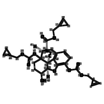 O=C(OCC1C=C1)Oc1ccc2c3c1O[C@H]1C(O)CCC4(OC(=O)OCC5=CC5)[C@@H](C2)N(C(=O)OCC2=CC2)CC[C@]314